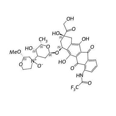 CO[C@@H]1C[N+]([O-])(C2C[C@H](O[C@H]3C[C@](O)(C(=O)CO)Cc4c(O)c5c(c(O)c43)C(=O)c3c(NC(=O)C(F)(F)F)cccc3C5=O)O[C@@H](C)[C@H]2O)CCO1